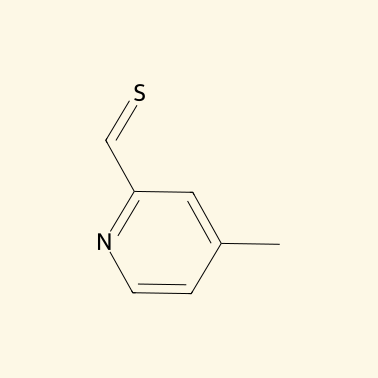 Cc1ccnc(C=S)c1